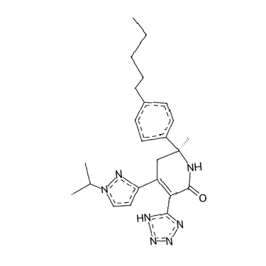 CCCCCc1ccc([C@]2(C)CC(c3ccn(C(C)C)n3)=C(c3nnn[nH]3)C(=O)N2)cc1